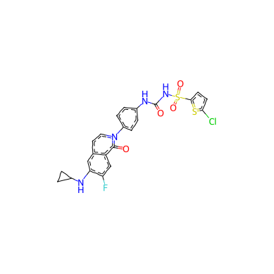 O=C(Nc1ccc(-n2ccc3cc(NC4CC4)c(F)cc3c2=O)cc1)NS(=O)(=O)c1ccc(Cl)s1